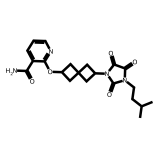 CC(C)CCN1C(=O)C(=O)N(C2CC3(CC(Oc4ncccc4C(N)=O)C3)C2)C1=O